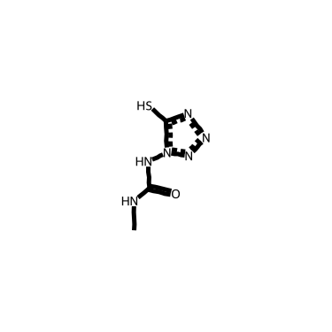 CNC(=O)Nn1nnnc1S